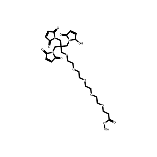 CC(C)(C)OC(=O)CCOCCOCCOCCOCCOCC(CN1C(=O)C=CC1=O)(CN1C(=O)C=CC1=O)CN1C(=O)C=CC1O